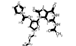 CC(=O)Nc1nc2c(sc(=O)n2C2O[C@H](COSBr)C[C@H]2OC(=S)n2ccnc2)c(=O)[nH]1